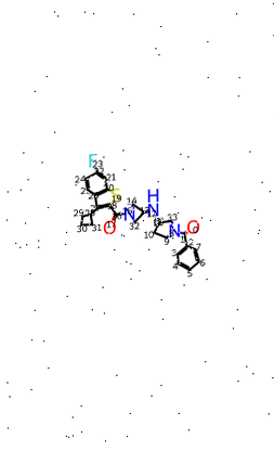 O=C(c1ccccc1)N1CC[C@H](NC2CN(C(=O)c3sc4cc(F)ccc4c3C3CCC3)C2)C1